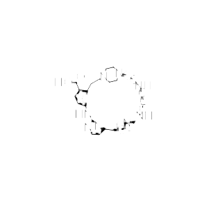 O=C(O)c1ccc2cc1CN1CCN(CCNCCCNc3ccc(cn3)-c3ccnc(n3)N2)CC1